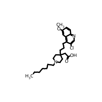 CCCCCCCN1CCC(CCCc2c(Cl)cnc3ccc(OC)cc23)(CC(=O)O)CC1